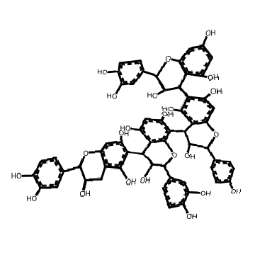 Oc1ccc(C2Oc3cc(O)c(C4c5c(O)cc(O)cc5OC(c5ccc(O)c(O)c5)C4O)c(O)c3C(c3c(O)cc(O)c4c3OC(c3ccc(O)c(O)c3)C(O)C4c3c(O)cc4c(c3O)CC(O)C(c3ccc(O)c(O)c3)O4)C2O)cc1